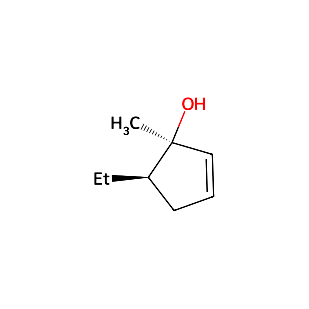 CC[C@@H]1CC=C[C@]1(C)O